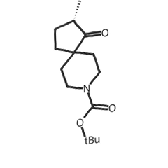 C[C@H]1CCC2(CCN(C(=O)OC(C)(C)C)CC2)C1=O